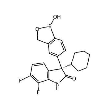 O=C1Nc2c(ccc(F)c2F)[C@]1(c1ccc2c(c1)COB2O)C1CCCCC1